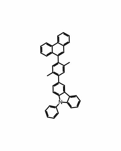 Cc1cc(-c2cc3ccccc3c3ccccc23)c(C)cc1-c1ccc2c(c1)c1ccccc1n2-c1ccccc1